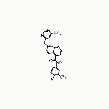 Nc1cc(Cc2ccc3c(C(=O)Nc4ccc(F)c(C(F)(F)F)c4)cccc3c2)ncn1